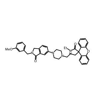 CCNC(=O)C1(CCCN2CCN(c3ccc4c(c3)C(=O)N(Cc3cccc(OC)c3)C4)CC2)c2ccccc2Oc2ccccc21